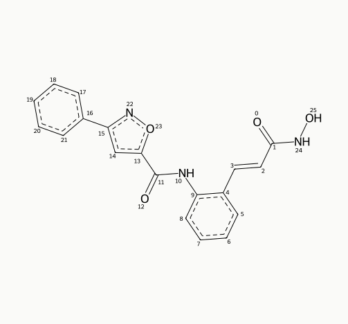 O=C(C=Cc1ccccc1NC(=O)c1cc(-c2ccccc2)no1)NO